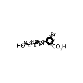 O=C(O)c1cc(Br)cc(C(=O)O)c1.OCCOCCO